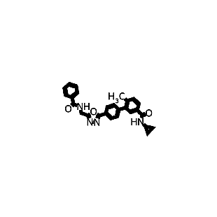 Cc1ccc(C(=O)NC2CC2)cc1-c1ccc(-c2nnc(CNC(=O)c3ccccc3)o2)cc1